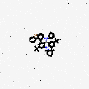 CC(C)(C)c1cc2c3c(c1)N1c4c(cc(C(C)(C)C)cc4C4(C)CCCCC14C)B3N(c1ccccc1)c1ccc3sc4ccccc4c3c1-2